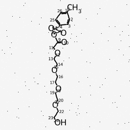 Cc1ccc(S(=O)(=O)OC(=O)COCCOCCOCCOCCO)cc1